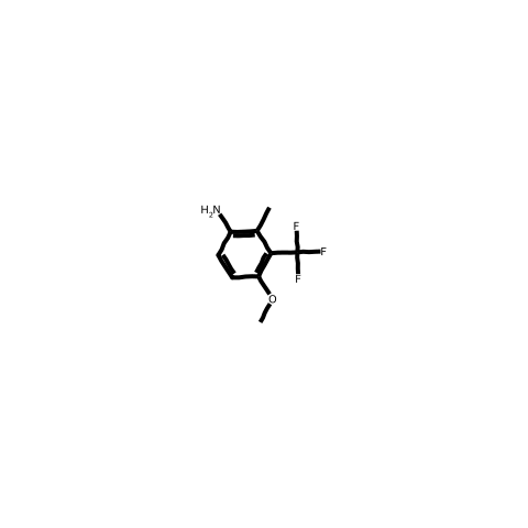 COc1ccc(N)c(C)c1C(F)(F)F